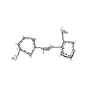 CCCCc1ccccc1N=Nc1cccc(C)c1